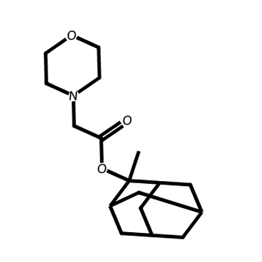 CC1(OC(=O)CN2CCOCC2)C2CC3CC(C2)CC1C3